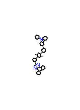 Cc1cc(-c2cccc(-c3cnc4c5ccccc5c5ccccc5c4n3)c2)c(C)cc1-c1cccc(-c2ccc3c(c2)c2ccccc2n3-c2ccccc2)c1